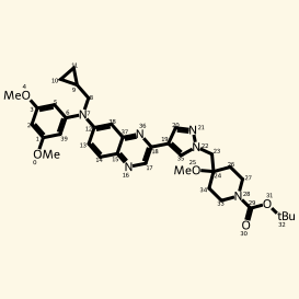 COc1cc(OC)cc(N(CC2CC2)c2ccc3ncc(-c4cnn(CC5(OC)CCN(C(=O)OC(C)(C)C)CC5)c4)nc3c2)c1